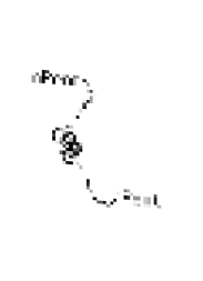 CCCCC/C=C\C/C=C\CCCCCCCC(=O)[O][Zr](=[O])[O]C(=O)CCCCCCC/C=C\C/C=C\CCCCC